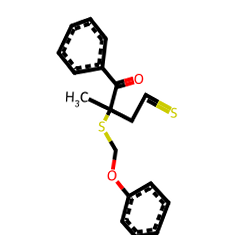 CC(CC=S)(SCOc1ccccc1)C(=O)c1ccccc1